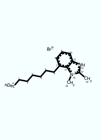 CCCCCCCCCCCCCCCCc1cccc2[nH]c(C)[n+](C)c12.[Br-]